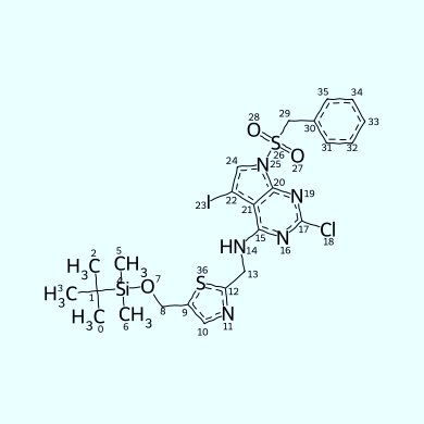 CC(C)(C)[Si](C)(C)OCc1cnc(CNc2nc(Cl)nc3c2c(I)cn3S(=O)(=O)Cc2ccccc2)s1